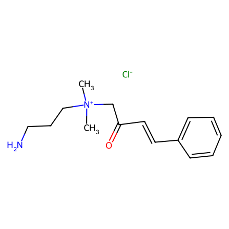 C[N+](C)(CCCN)CC(=O)C=Cc1ccccc1.[Cl-]